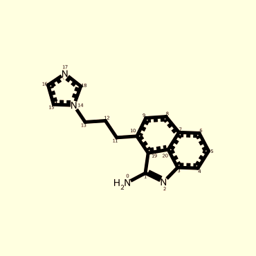 NC1=Nc2cccc3ccc(CCCn4ccnc4)c1c23